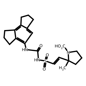 CC1(C=CS(=O)(=O)NC(=O)Nc2cc3c(c4c2CCC4)CCC3)CCCN1C(=O)O